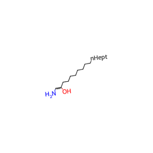 CCCCCCCCCCCCCCCC(O)=CN